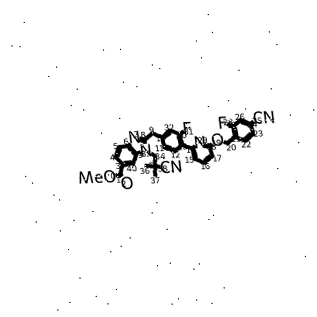 COC(=O)c1ccc2nc(Cc3ccc(-c4cccc(OCc5ccc(C#N)cc5F)n4)c(F)c3)n(CC(C)(C)C#N)c2c1